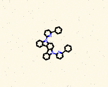 c1ccc(-c2cccc(-n3c4ccccc4c4c5c6ccccc6n(-c6cccc(-c7ccccc7)n6)c5ccc43)n2)cc1